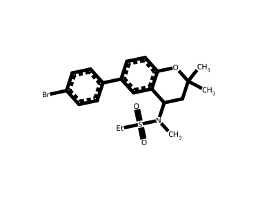 CCS(=O)(=O)N(C)C1CC(C)(C)Oc2ccc(-c3ccc(Br)cc3)cc21